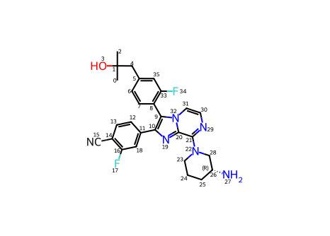 CC(C)(O)Cc1ccc(-c2c(-c3ccc(C#N)c(F)c3)nc3c(N4CCC[C@@H](N)C4)nccn23)c(F)c1